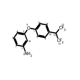 Nc1cccc(Oc2ccc(C(C(F)(F)F)C(F)(F)F)cc2)c1